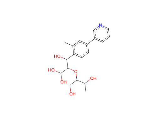 Cc1cc(-c2cccnc2)ccc1C(O)C(OC(CO)C(C)O)C(O)O